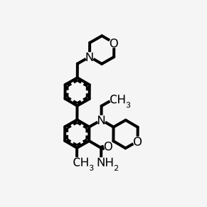 CCN(c1c(-c2ccc(CN3CCOCC3)cc2)ccc(C)c1C(N)=O)C1CCOCC1